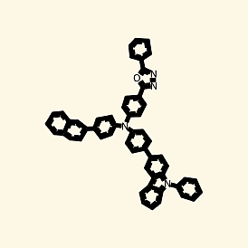 c1ccc(-c2nnc(-c3ccc(N(c4ccc(-c5ccc6ccccc6c5)cc4)c4ccc(-c5ccc6c(c5)c5ccccc5n6-c5ccccc5)cc4)cc3)o2)cc1